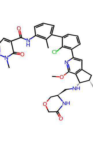 COc1nc(-c2cccc(-c3cccc(NC(=O)c4ccnn(C)c4=O)c3C)c2Cl)cc2c1[C@@H](NC[C@@H]1COCC(=O)N1)[C@@H](C)C2